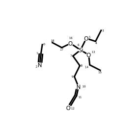 CC#N.CCO[Si](CCCN=C=O)(OCC)OCC